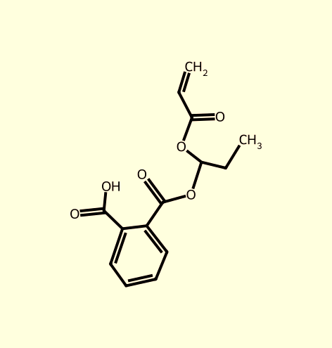 C=CC(=O)OC(CC)OC(=O)c1ccccc1C(=O)O